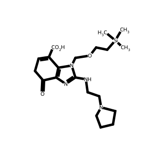 C[Si](C)(C)CCOCn1c(NCCN2CCCC2)nc2c1C(C(=O)O)=CCC2=O